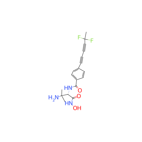 CC(F)(F)C#CC#Cc1ccc(C(=O)N[C@H](C(=O)NO)C(C)(C)N)cc1